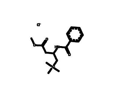 COC(=O)CC(C[N+](C)(C)C)NC(=O)c1ccccc1.[Cl-]